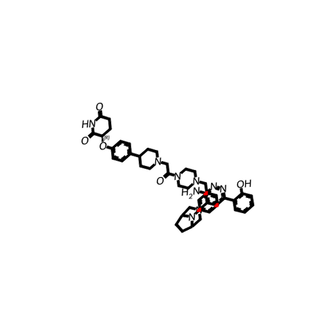 Nc1nnc(-c2ccccc2O)cc1N1CC2CCC(C1)N2c1cccc(CN2CCN(C(=O)CN3CCC(c4ccc(O[C@@H]5CCC(=O)NC5=O)cc4)CC3)CC2)c1